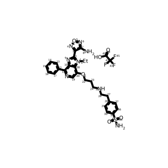 CCn1c(-c2nonc2N)nc2c(-c3ccccc3)ncc(OCCCNCCc3ccc(S(N)(=O)=O)cc3)c21.O=C(O)C(F)(F)F